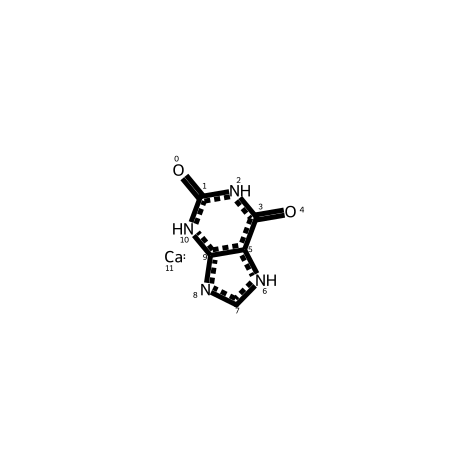 O=c1[nH]c(=O)c2[nH]cnc2[nH]1.[Ca]